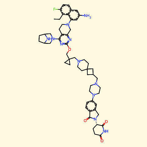 CCc1c(F)ccc2cc(N)cc(N3CCc4c(nc(OCC5(CN6CCC7(CC6)CC(CN6CCN(c8ccc9c(c8)CN([C@H]8CCC(=O)NC8=O)C9=O)CC6)C7)CC5)nc4N4CC5CCC(C4)N5)C3)c12